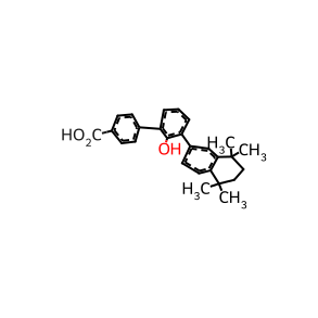 CC1(C)CCC(C)(C)c2cc(-c3cccc(-c4ccc(C(=O)O)cc4)c3O)ccc21